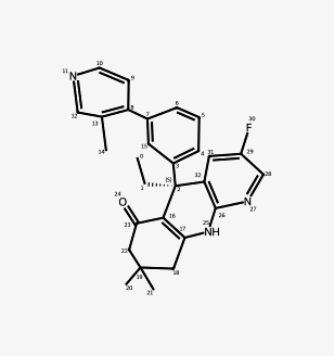 CC[C@@]1(c2cccc(-c3ccncc3C)c2)C2=C(CC(C)(C)CC2=O)Nc2ncc(F)cc21